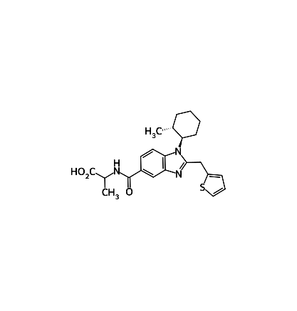 CC(NC(=O)c1ccc2c(c1)nc(Cc1cccs1)n2[C@@H]1CCCC[C@H]1C)C(=O)O